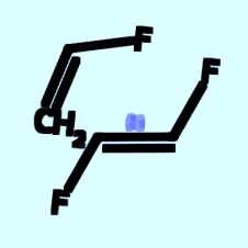 C=CF.F/C=C/F